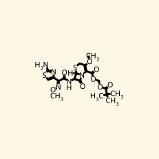 CON=C(C(=O)NC1C(=O)N2C(C(=O)OCOC(=O)C(C)(C)C)=C(OC)CS[C@@H]12)c1csc(N)n1